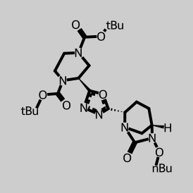 CCCCON1C(=O)N2C[C@@H]1CC[C@H]2c1nnc([C@@H]2CN(C(=O)OC(C)(C)C)CCN2C(=O)OC(C)(C)C)o1